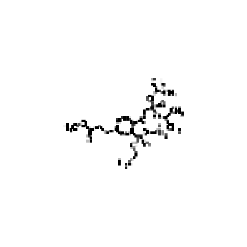 CCOP(=O)(OCC)c1cc(CCC(=O)OC)ccc1OCP(=O)(OC(C)C)OC(C)C